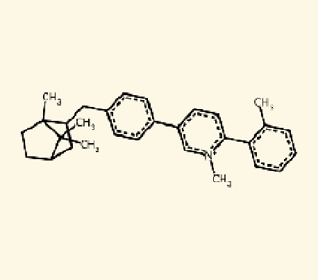 Cc1ccccc1-c1ccc(-c2ccc(CC3CC4CCC3(C)C4(C)C)cc2)c[n+]1C